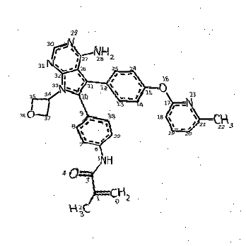 C=C(C)C(=O)Nc1ccc(-c2c(-c3ccc(Oc4cccc(C)n4)cc3)c3c(N)ncnc3n2C2COC2)cc1